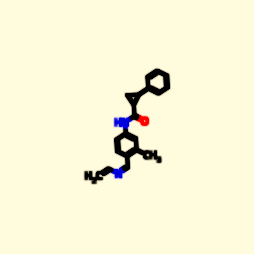 C=C/N=C\c1ccc(NC(=O)C2CC2c2ccccc2)cc1C